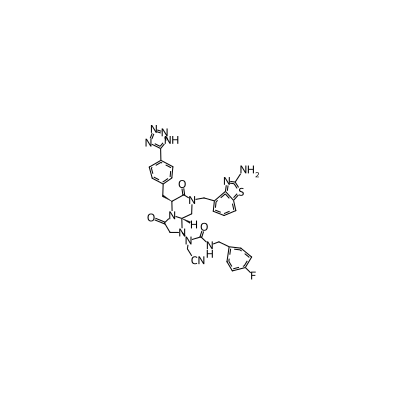 N#CCN(C(=O)NCc1ccc(F)cc1)N1CC(=O)N2[C@@H](Cc3ccc(-c4nnn[nH]4)cc3)C(=O)N(Cc3cccc4sc(N)nc34)C[C@@H]21